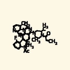 C=CC(=O)N1C[C@H](C)N(c2nc(=O)n(-c3c(C)ccnc3C(C)C)c3nc(-c4c(F)cccc4N(C)C(C)=O)c(Cl)cc23)C[C@H]1C